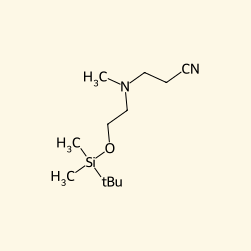 CN(CCC#N)CCO[Si](C)(C)C(C)(C)C